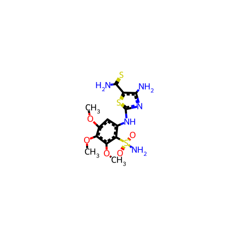 COc1cc(Nc2nc(N)c(C(N)=S)s2)c(S(N)(=O)=O)c(OC)c1OC